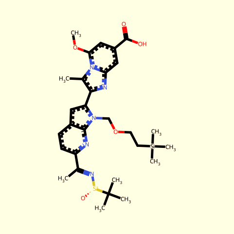 COc1cc(C(=O)O)cc2nc(-c3cc4ccc(C(C)=N[S@@+]([O-])C(C)(C)C)nc4n3COCC[Si](C)(C)C)c(C)n12